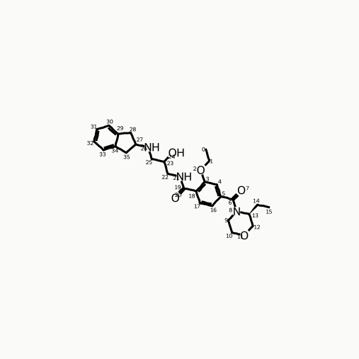 CCOc1cc(C(=O)N2CCOC[C@@H]2CC)ccc1C(=O)NCC(O)CNC1Cc2ccccc2C1